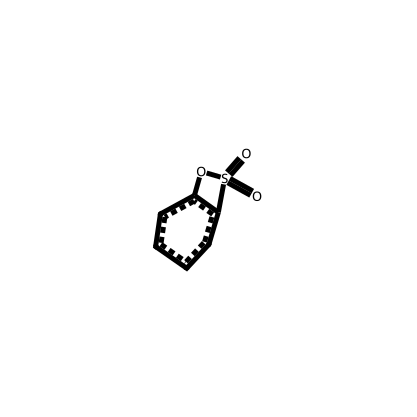 O=S1(=O)Oc2ccccc21